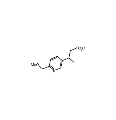 COCc1ccc(C(C)CC(=O)O)cn1